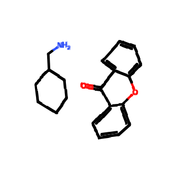 NCC1CCCCC1.O=c1c2ccccc2oc2ccccc12